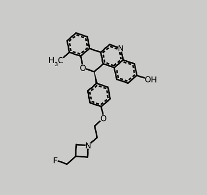 Cc1cccc2c1O[C@H](c1ccc(OCCN3CC(CF)C3)cc1)c1c-2cnc2cc(O)ccc12